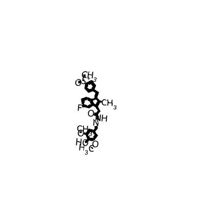 COc1cc(C=NNC(=O)CC2=C(C)/C(=C/c3ccc([S+](C)[O-])cc3)c3ccc(F)cc32)cc(OC)c1O